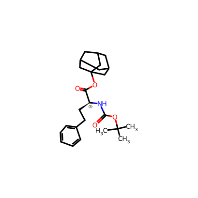 CC(C)(C)OC(=O)N[C@@H](CCc1ccccc1)C(=O)OC12CC3CC(CC(C3)C1)C2